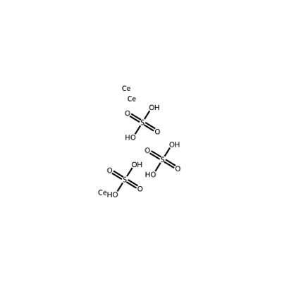 O=S(=O)(O)O.O=S(=O)(O)O.O=S(=O)(O)O.[Ce].[Ce].[Ce]